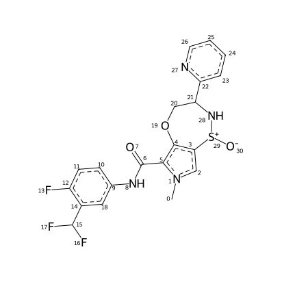 Cn1cc2c(c1C(=O)Nc1ccc(F)c(C(F)F)c1)OCC(c1ccccn1)N[S+]2[O-]